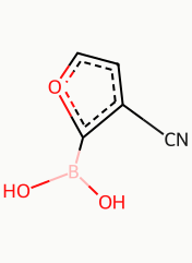 N#Cc1ccoc1B(O)O